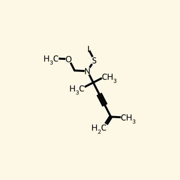 C=C(C)C#CC(C)(C)N(COC)SI